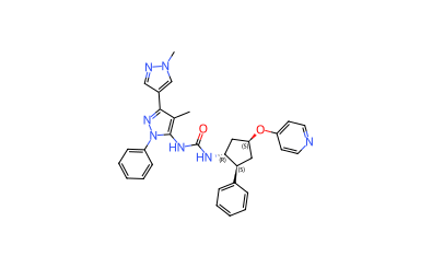 Cc1c(-c2cnn(C)c2)nn(-c2ccccc2)c1NC(=O)N[C@@H]1C[C@@H](Oc2ccncc2)C[C@H]1c1ccccc1